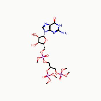 COP(=O)(OC)OCC(COP(=O)(OC)OC[C@H]1O[C@@H](n2cnc3c(=O)[nH]c(N)nc32)[C@H](O)[C@@H]1O)OP(=O)(OC)OC